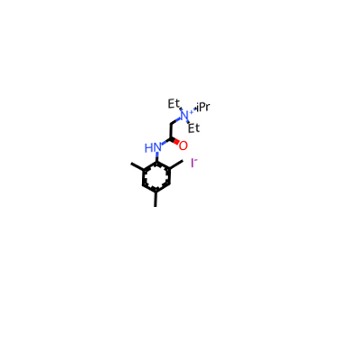 CC[N+](CC)(CC(=O)Nc1c(C)cc(C)cc1C)C(C)C.[I-]